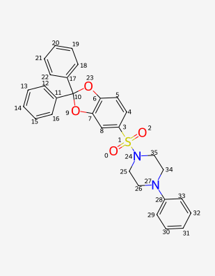 O=S(=O)(c1ccc2c(c1)OC(c1ccccc1)(c1ccccc1)O2)N1CCN(c2ccccc2)CC1